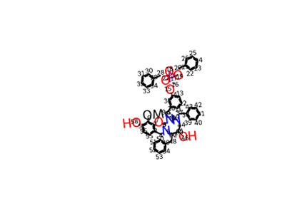 COc1cc(CN2C(=O)N(Cc3cccc(OCP(=O)(OCc4ccccc4)OCc4ccccc4)c3)N(Cc3ccccc3)C[C@@H](O)[C@H]2Cc2ccccc2)ccc1O